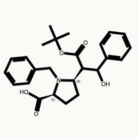 CC(C)(C)OC(=O)C(C(O)c1ccccc1)[C@H]1CC[C@@H](C(=O)O)N1Cc1ccccc1